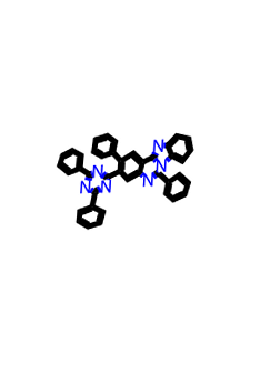 c1ccc(-c2nc(-c3ccccc3)nc(-c3cc4nc(-c5ccccc5)n5c6ccccc6nc5c4cc3-c3ccccc3)n2)cc1